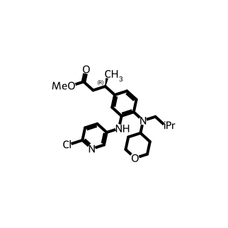 COC(=O)C[C@@H](C)c1ccc(N(CC(C)C)C2CCOCC2)c(Nc2ccc(Cl)nc2)c1